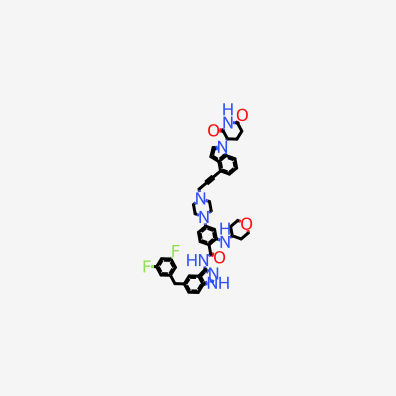 O=C1CCC(n2ccc3c(C#CCN4CCN(c5ccc(C(=O)Nc6n[nH]c7ccc(Cc8cc(F)cc(F)c8)cc67)c(NC6CCOCC6)c5)CC4)cccc32)C(=O)N1